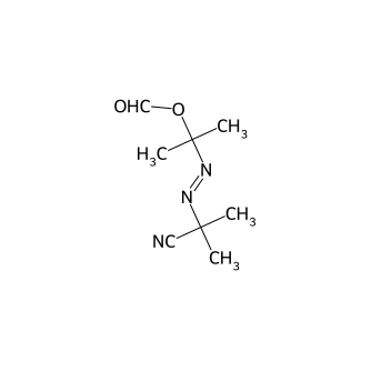 CC(C)(C#N)N=NC(C)(C)OC=O